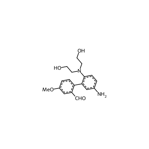 COc1ccc(-c2cc(N)ccc2N(CCO)CCO)c(C=O)c1